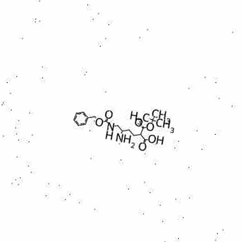 CC(C)(C)OC(=O)C(CCC(N)CNC(=O)OCc1ccccc1)C(=O)O